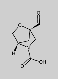 O=C[C@@]12C[C@@H](CO1)N(C(=O)O)C2